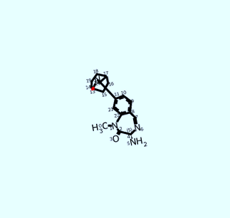 CN1C(=O)[C@@H](N)N=Cc2ccc(N3CC4CCC(CC4)C3)cc21